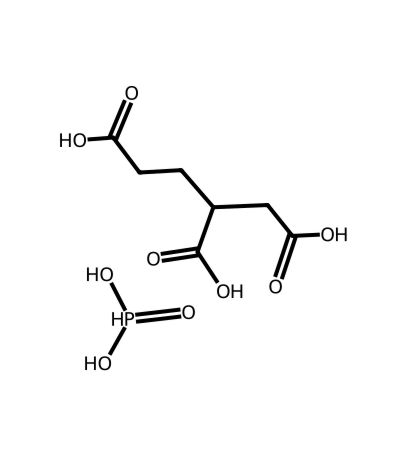 O=C(O)CCC(CC(=O)O)C(=O)O.O=[PH](O)O